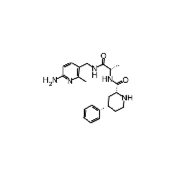 Cc1nc(N)ccc1CNC(=O)[C@H](C)NC(=O)[C@H]1C[C@@H](c2ccccc2)CCN1